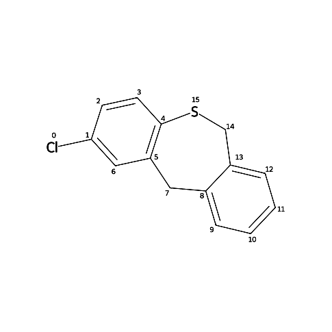 Clc1ccc2c(c1)Cc1ccccc1CS2